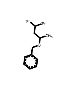 CC(CC(C(C)C)C(C)C)OCc1ccccc1